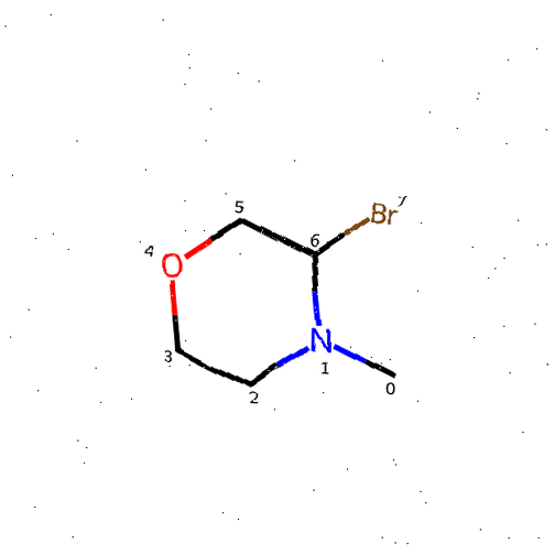 CN1CCOCC1Br